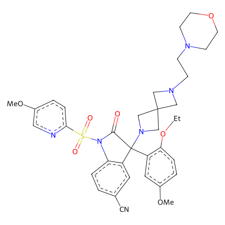 CCOc1ccc(OC)cc1C1(N2CC3(CN(CCN4CCOCC4)C3)C2)C(=O)N(S(=O)(=O)c2ccc(OC)cn2)c2ccc(C#N)cc21